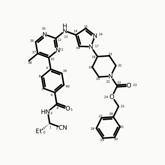 CC[C@@H](C#N)NC(=O)c1ccc(-c2nc(Nc3cnn(C4CCN(C(=O)OCc5ccccc5)CC4)c3)ncc2C)cc1